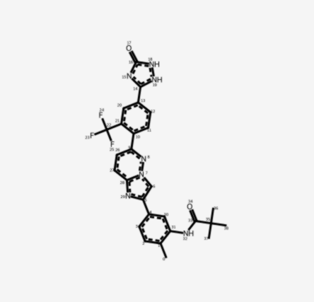 Cc1ccc(-c2cn3nc(-c4ccc(-c5nc(=O)[nH][nH]5)cc4C(F)(F)F)ccc3n2)cc1NC(=O)C(C)(C)C